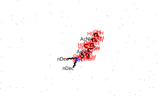 CCCCCCCCCCCCC/C=C/[C@@H](O)[C@H](CO[C@@H]1OC(CO)[C@@H](O[C@@H]2OC(CO)[C@H](O)[C@H](O[C@@H]3OC(CO)[C@@H](O[C@@H]4OC(CO)[C@H](O)[C@H](O[C@@H]5OC(CO)[C@@H](O)[C@H](O[C@@H]6OC(CO)[C@H](O)[C@H](O)C6O)C5NC(C)=O)C4O)[C@H](O[C@H]4OC(C)[C@@H](O)C(O)[C@@H]4O)C3NC(C)=O)C2O)[C@H](O)C1O)NC(=O)CCCCCCCCCCCCCCC